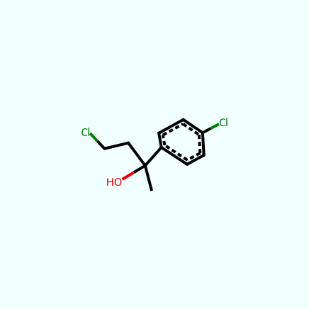 CC(O)(CCCl)c1ccc(Cl)cc1